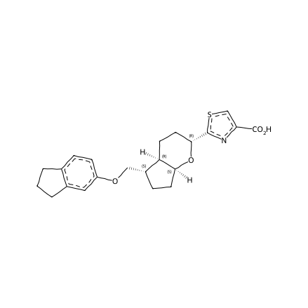 O=C(O)c1csc([C@H]2CC[C@@H]3[C@@H](COc4ccc5c(c4)CCC5)CC[C@@H]3O2)n1